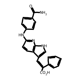 NC(=O)c1ccc(Nc2ccc3c(/C=C(/C(=O)O)c4ccccc4)c[nH]c3n2)cc1